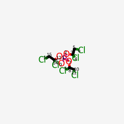 O=P(OC(Cl)CCl)(OC(Cl)CCl)OC(Cl)CCl